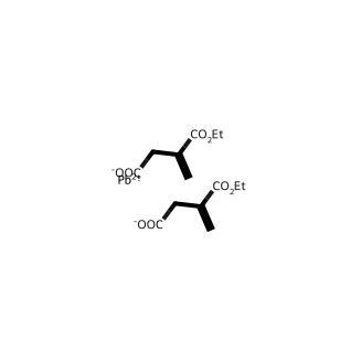 C=C(CC(=O)[O-])C(=O)OCC.C=C(CC(=O)[O-])C(=O)OCC.[Pb+2]